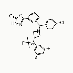 CC(C)(F)[C@H](c1cc(F)cc(F)c1)C1CN(C(c2ccc(Cl)cc2)c2cccc(-c3n[nH]c(=O)o3)c2)C1